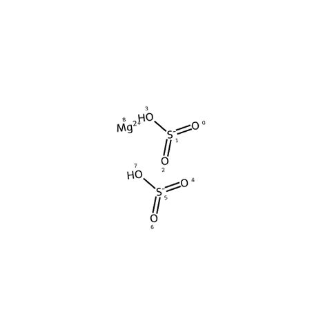 O=[S-](=O)O.O=[S-](=O)O.[Mg+2]